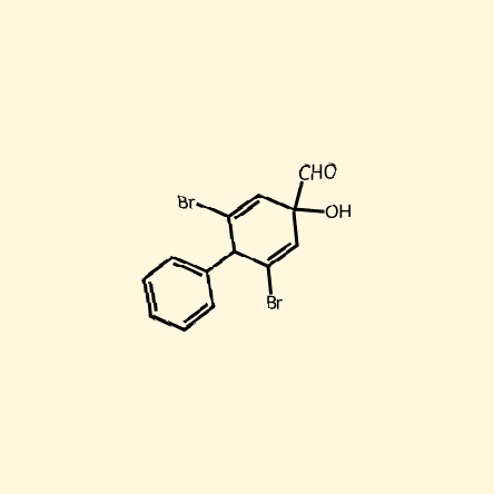 O=CC1(O)C=C(Br)C(c2ccccc2)C(Br)=C1